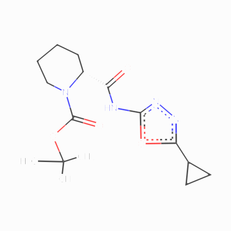 CC(C)(C)OC(=O)N1CCCC[C@@H]1C(=O)Nc1nnc(C2CC2)o1